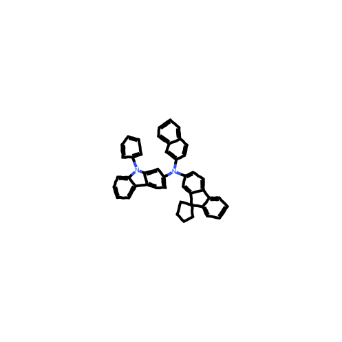 c1ccc(-n2c3ccccc3c3ccc(N(c4ccc5c(c4)C4(CCCC4)c4ccccc4-5)c4ccc5ccccc5c4)cc32)cc1